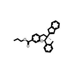 CCCOC(=O)c1ccc(C[C@@](C)(C2=Cc3ccccc3C2)[C@@H](O)c2ccccc2C)cc1